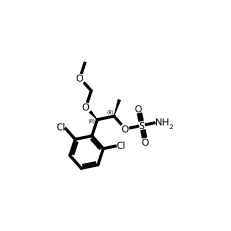 COCO[C@H](c1c(Cl)cccc1Cl)[C@@H](C)OS(N)(=O)=O